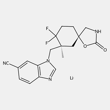 C[C@@]1(Cn2cnc3ccc(C#N)cc32)C[C@@]2(CCC1(F)F)CNC(=O)O2.[Li]